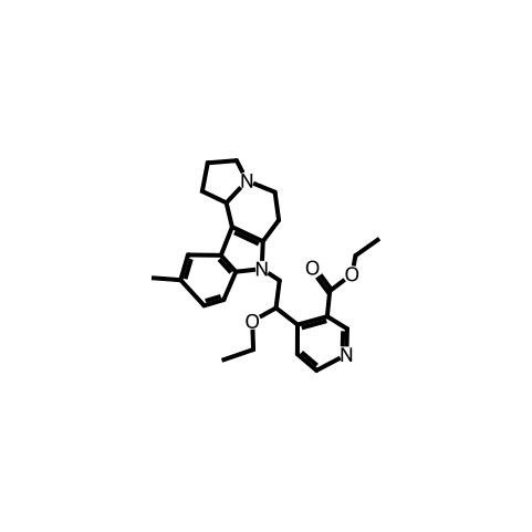 CCOC(=O)c1cnccc1C(Cn1c2c(c3cc(C)ccc31)C1CCCN1CC2)OCC